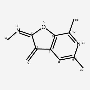 C=C1/C(=N\C)Oc2c1cc(C)nc2C